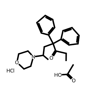 CC(=O)O.CCC(=O)C(CC(C)N1CCOCC1)(c1ccccc1)c1ccccc1.Cl